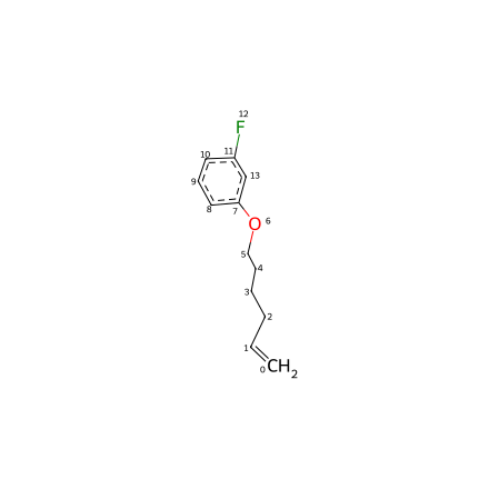 C=CCCCCOc1cccc(F)c1